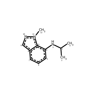 CC(C)Nc1cccc2cnn(C)c12